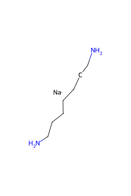 NCCCCCCCN.[Na]